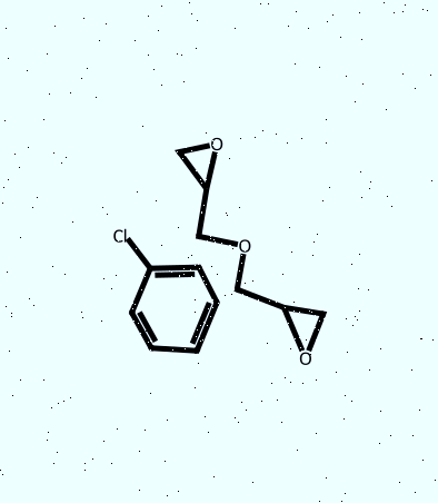 C(OCC1CO1)C1CO1.Clc1ccccc1